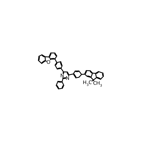 CC1(C)c2ccccc2-c2ccc(C3C=CC(c4cc(-c5ccc(-c6cccc7c6oc6ccccc67)cc5)nc(-c5ccccc5)n4)=CC3)cc21